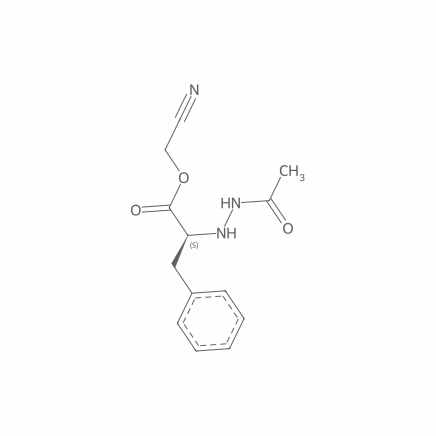 CC(=O)NN[C@@H](Cc1ccccc1)C(=O)OCC#N